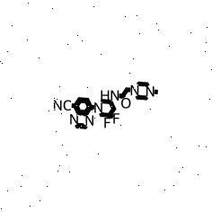 CN1CCN(CC(=O)NC2CN(c3ccc(C#N)c4nccnc34)CC(F)(F)C2)CC1